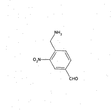 NCc1ccc(C=O)cc1[N+](=O)[O-]